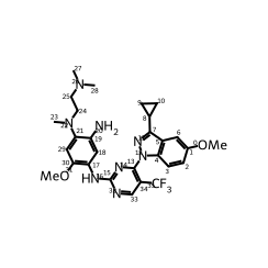 COc1ccc2c(c1)c(C1CC1)nn2-c1nc(Nc2cc(N)c(N(C)CCN(C)C)cc2OC)ncc1C(F)(F)F